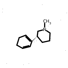 CN1CCC[C@H](C2=CCCC=C2)C1